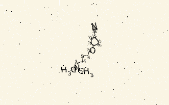 CN(C)CCCCCOc1ccc(C#N)cc1